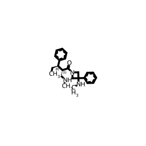 CC[C@@H](c1ccccc1)[C@@H](CNC)C(=O)N1CC(NC)(c2ccccc2)C1